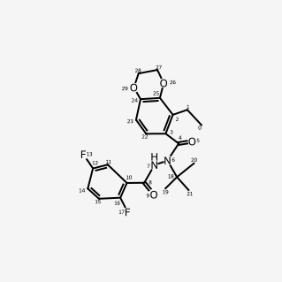 CCc1c(C(=O)N(NC(=O)c2cc(F)ccc2F)C(C)(C)C)ccc2c1OCCO2